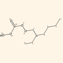 CCCCC(CC)COOC(=O)OO